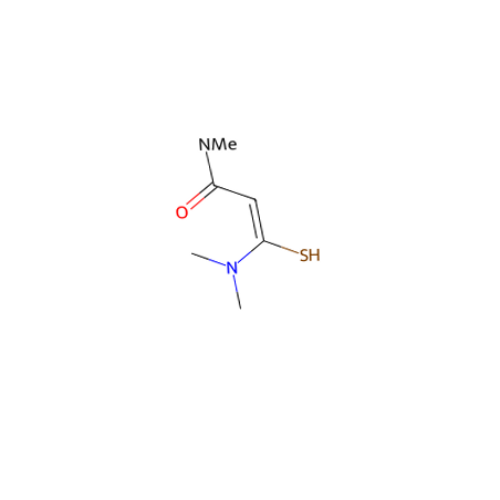 CNC(=O)/C=C(/S)N(C)C